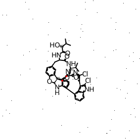 CC(C)[C@H](O)C(=O)NC1Cc2ccc3c(c2)[C@]24c5cccc(c5NC2O3)-c2cccc3[nH]c(Cl)c(c23)-c2oc(nc2Cl)-c2nc(oc24)[C@H](C(C)C)NC1=O